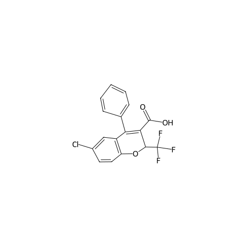 O=C(O)C1=C(c2ccccc2)c2cc(Cl)ccc2OC1C(F)(F)F